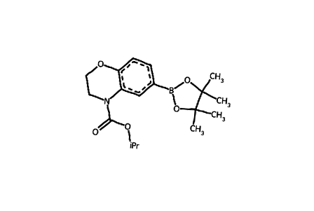 CC(C)OC(=O)N1CCOc2ccc(B3OC(C)(C)C(C)(C)O3)cc21